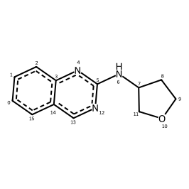 c1ccc2nc(NC3CCOC3)ncc2c1